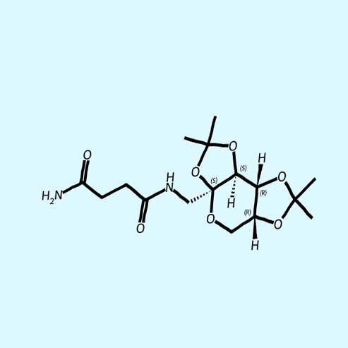 CC1(C)O[C@@H]2[C@@H](CO[C@@]3(CNC(=O)CCC(N)=O)OC(C)(C)O[C@@H]23)O1